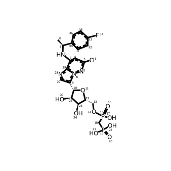 C[C@H](Nc1cc(Cl)nn2c([C@@H]3O[C@H](COP(=O)(O)CP(=O)(O)O)[C@@H](O)[C@H]3O)cnc12)c1ccc(F)cc1